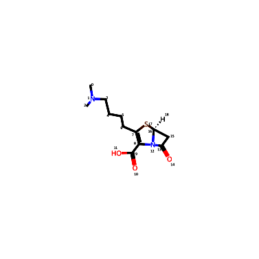 CN(C)CCCCC1=C(C(=O)O)N2C(=O)C[C@@H]2S1